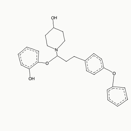 Oc1ccccc1OC(CCc1ccc(Oc2ccccc2)cc1)N1CCC(O)CC1